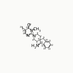 Cn1c(N2CCC3(CC2)Cc2ccccc2[C@H]3N)ncc(I)c1=O